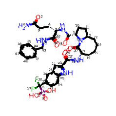 NC(=O)CC[C@H](NC(=O)[C@@H]1CCC2CCCC[C@H](NC(=O)c3cc4cc(C(F)(F)P(=O)(O)O)ccc4[nH]3)C(=O)N21)C(=O)NCc1ccccc1